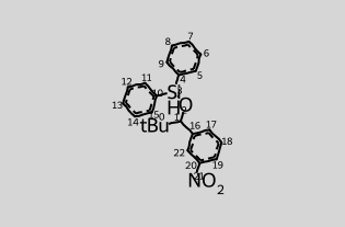 CC(C)(C)C(O[SiH](c1ccccc1)c1ccccc1)c1cccc([N+](=O)[O-])c1